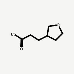 CCC(=O)CCC1CCOC1